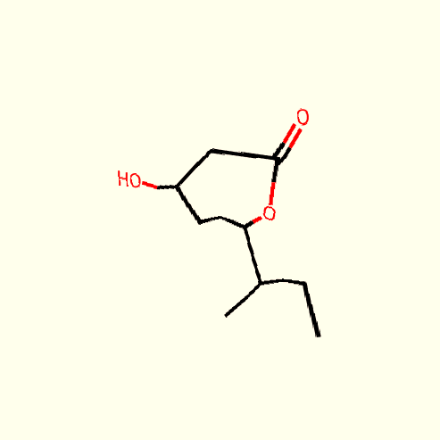 CCC(C)C1CC(O)CC(=O)O1